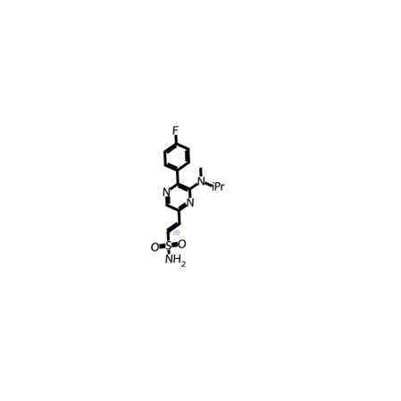 CC(C)N(C)c1nc(/C=C/S(N)(=O)=O)cnc1-c1ccc(F)cc1